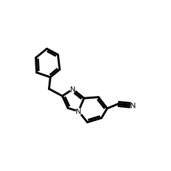 N#Cc1ccn2cc(Cc3ccccc3)nc2c1